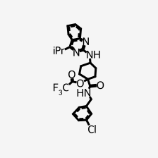 CC(C)c1nc(NC2CCC(OC(=O)C(F)(F)F)(C(=O)NCc3cccc(Cl)c3)CC2)nc2ccccc12